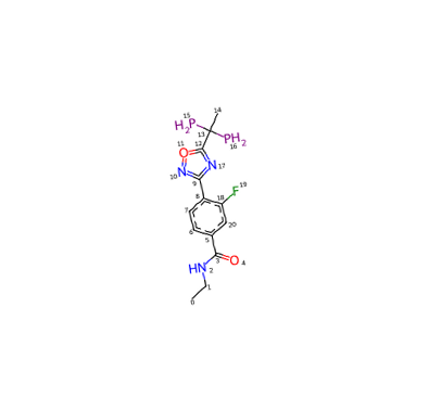 CCNC(=O)c1ccc(-c2noc(C(C)(P)P)n2)c(F)c1